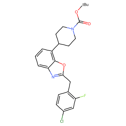 CC(C)(C)OC(=O)N1CCC(c2cccc3nc(Cc4ccc(Cl)cc4F)oc23)CC1